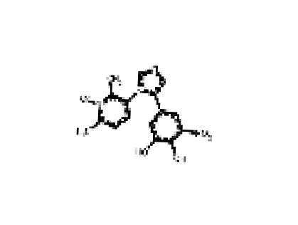 Cc1c(-n2cncc2-c2cc(O)c(O)c([N+](=O)[O-])c2)ccc(C(F)(F)F)[n+]1[O-]